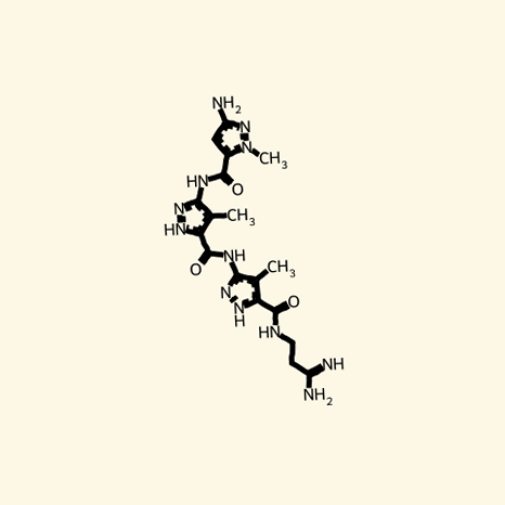 Cc1c(NC(=O)c2[nH]nc(NC(=O)c3cc(N)nn3C)c2C)n[nH]c1C(=O)NCCC(=N)N